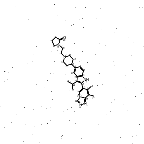 Cc1c(-c2[nH]c3ccc(C4CCN(CCN5CCCC5=O)CC4)cc3c2C(C)C)cn2cnnc2c1C